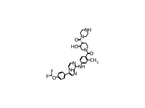 Cc1cc(Nc2nccn3c(-c4ccc(OC(F)F)cc4)cnc23)ccc1C(=O)N1CC[C@@H](C(=O)N2CCNCC2)[C@H](O)C1